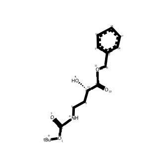 CC(C)(C)OC(=O)NCC[C@H](O)C(=O)OCc1ccccc1